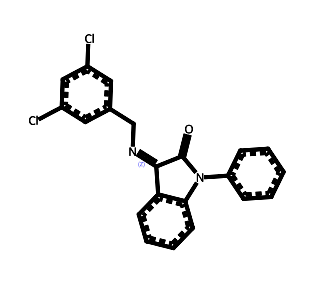 O=C1/C(=N\Cc2cc(Cl)cc(Cl)c2)c2ccccc2N1c1ccccc1